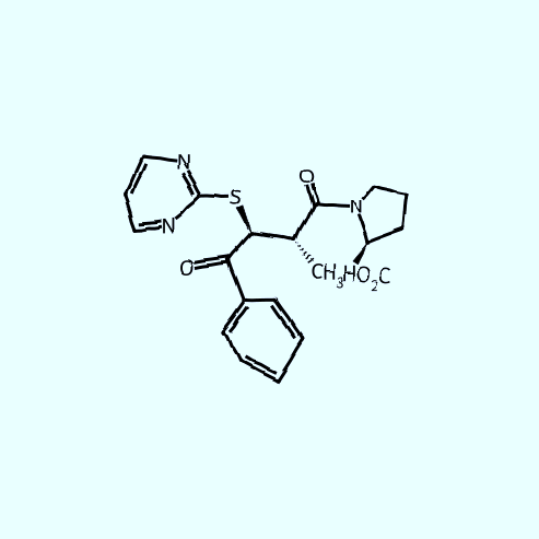 C[C@@H](C(=O)N1CCC[C@H]1C(=O)O)[C@H](Sc1ncccn1)C(=O)c1ccccc1